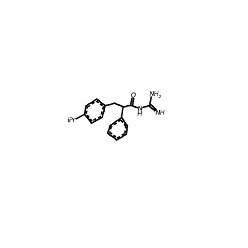 CC(C)c1ccc(CC(C(=O)NC(=N)N)c2ccccc2)cc1